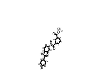 COC(=O)c1cccc(C(=O)Nc2ccc3[nH]c(-c4ccc(F)cc4)nc3c2)c1